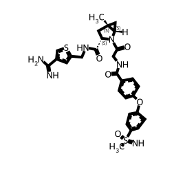 C[C@@]12C[C@@H]1N(C(=O)CNC(=O)c1ccc(Oc3ccc(S(C)(=N)=O)cc3)cc1)[C@H](C(=O)NCc1cc(C(=N)N)cs1)C2